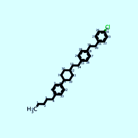 CCCCCc1ccc(C2CCC(CCc3ccc(CCc4ccc(Cl)cc4)cc3)CC2)cc1